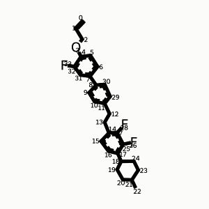 C=CCOc1ccc(-c2ccc(CCc3ccc(C4CCC(C)CC4)c(F)c3F)cc2)cc1F